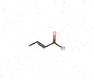 C/C=C/C(=O)CC